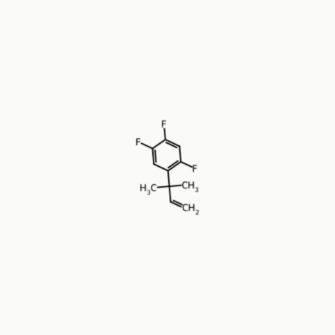 C=CC(C)(C)c1cc(F)c(F)cc1F